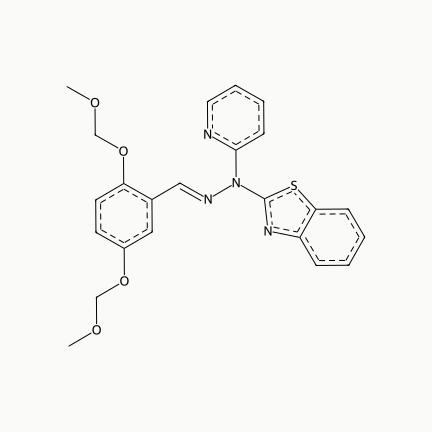 COCOc1ccc(OCOC)c(/C=N/N(c2ccccn2)c2nc3ccccc3s2)c1